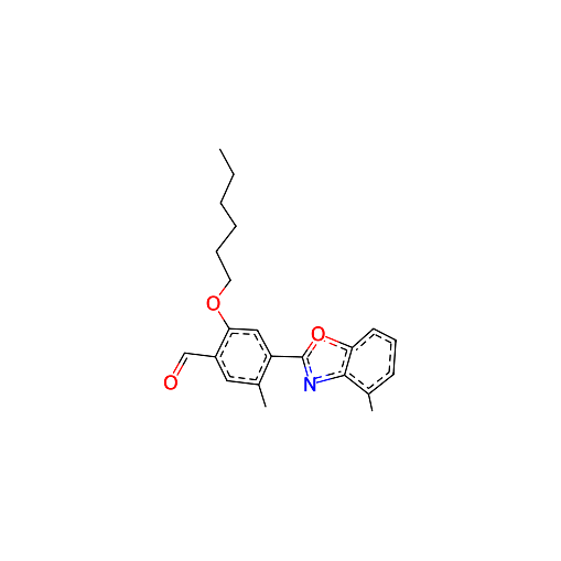 CCCCCCOc1cc(-c2nc3c(C)cccc3o2)c(C)cc1C=O